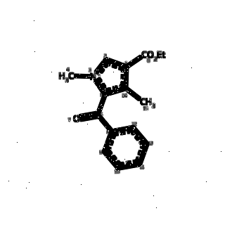 CCOC(=O)c1cn(C)c(C(=O)c2ccccc2)c1C